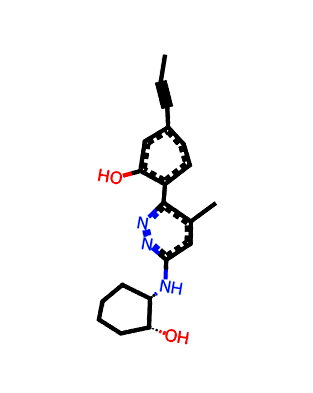 CC#Cc1ccc(-c2nnc(N[C@H]3CCCC[C@H]3O)cc2C)c(O)c1